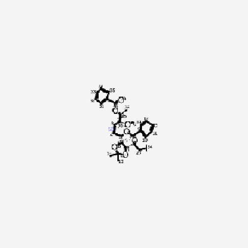 CO[C@H](/C=C\C(OC(=O)c1ccccc1)[C@H]1OC(C)(C)O[C@H]1CCI)[C@H](C)OC(=O)c1ccccc1